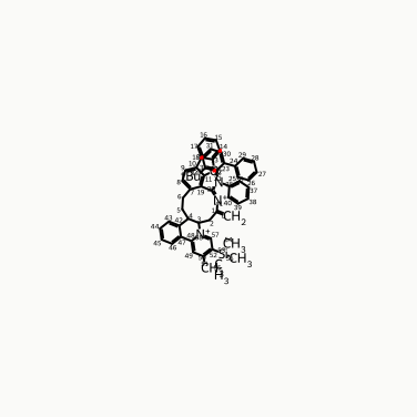 C=C1CC2C(CCc3ccc4c(oc5ccccc54)c3-c3n(-c4c(-c5ccccc5)cccc4C(C)(C)C)c4ccccc4[n+]31)c1ccccc1-c1cc(C)c([Si](C)(C)C)c[n+]12